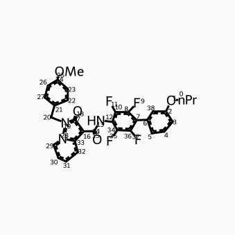 CCCOc1cccc(-c2c(F)c(F)c(NC(=O)c3c(=O)n(Cc4ccc(OC)cc4)n4ccccc34)c(F)c2F)c1